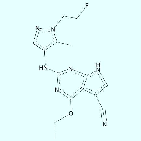 CCOc1nc(Nc2cnn(CCF)c2C)nc2[nH]cc(C#N)c12